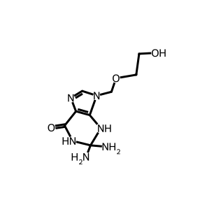 NC1(N)NC(=O)c2ncn(COCCO)c2N1